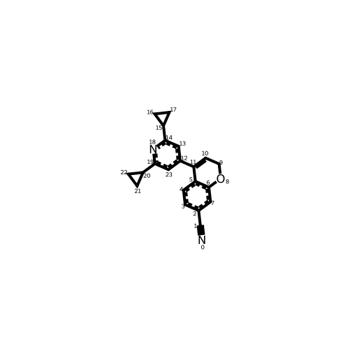 N#Cc1ccc2c(c1)OCC=C2c1cc(C2CC2)nc(C2CC2)c1